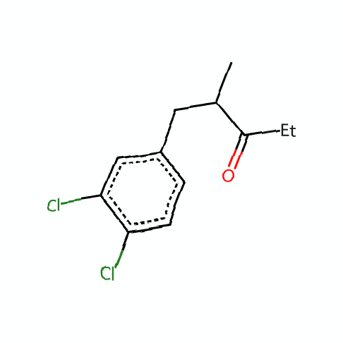 CCC(=O)C(C)Cc1ccc(Cl)c(Cl)c1